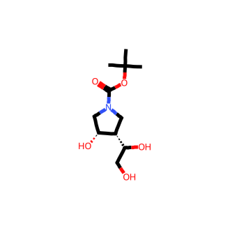 CC(C)(C)OC(=O)N1C[C@@H](O)[C@@H](C(O)CO)C1